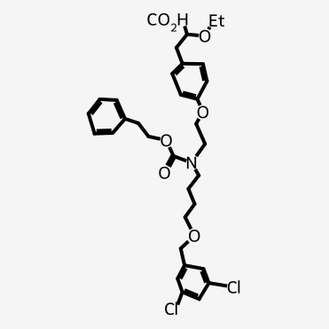 CCOC(Cc1ccc(OCCN(CCCCOCc2cc(Cl)cc(Cl)c2)C(=O)OCCc2ccccc2)cc1)C(=O)O